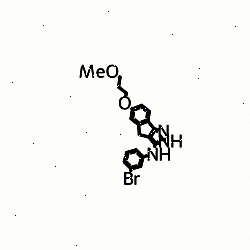 COCCCOc1ccc2c(c1)Cc1c-2n[nH]c1Nc1cccc(Br)c1